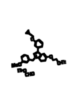 CCOC=O.CCOCCOc1ccc2c(c1)c(-c1cccc(OCC3CC3)c1)cn2Cc1cccc(OC)c1